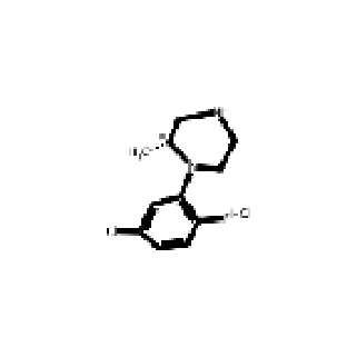 C[C@@H]1CNCCN1c1cc(Cl)ccc1F.Cl